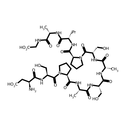 CC(C)[C@H](NC(=O)[C@@H]1CCCN1C(=O)[C@H](CO)NC(=O)[C@H](C)NC(=O)[C@H](CO)NC(=O)[C@H](C)NC(=O)[C@@H]1CCCN1C(=O)[C@H](CO)NC(=O)[C@@H](N)CC(=O)O)C(=O)N[C@@H](C)C(=O)NCC(=O)O